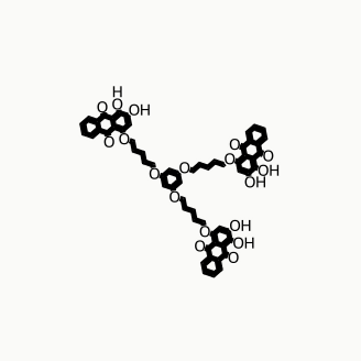 O=C1c2ccccc2C(=O)c2c(O)c(O)cc(OCCCCCOc3cc(OCCCCCOc4cc(O)c(O)c5c4C(=O)c4ccccc4C5=O)cc(OCCCCCOc4cc(O)c(O)c5c4C(=O)c4ccccc4C5=O)c3)c21